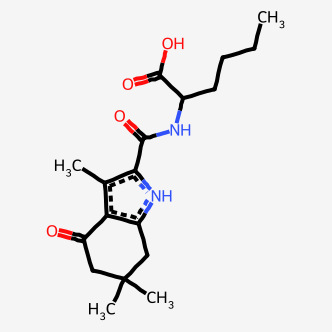 CCCCC(NC(=O)c1[nH]c2c(c1C)C(=O)CC(C)(C)C2)C(=O)O